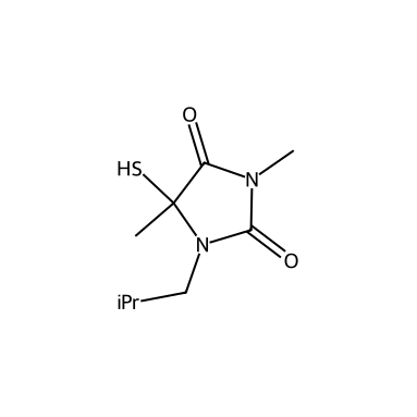 CC(C)CN1C(=O)N(C)C(=O)C1(C)S